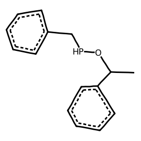 CC(OPCc1ccccc1)c1ccccc1